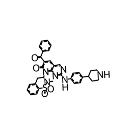 CN1C(n2c(=O)c(C(=O)c3ccccc3)cc3cnc(Nc4ccc(C5CCNCC5)cc4)nc32)Cc2ccccc2S1(=O)=O